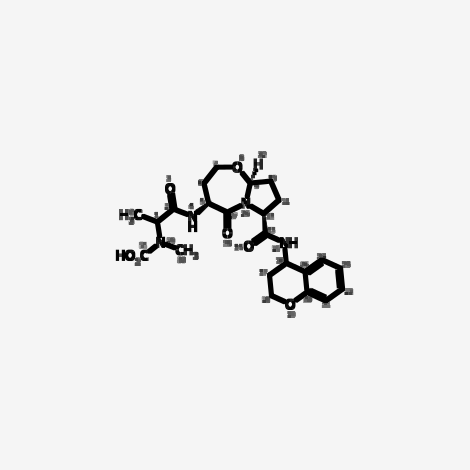 CC(C(=O)N[C@H]1CCO[C@H]2CC[C@@H](C(=O)NC3CCOc4ccccc43)N2C1=O)N(C)C(=O)O